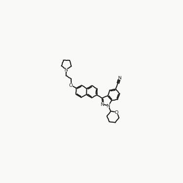 N#Cc1ccc2c(c1)c(-c1ccc3cc(OCCN4CCCC4)ccc3c1)nn2C1CCCCO1